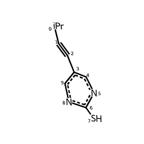 CC(C)C#Cc1cnc(S)nc1